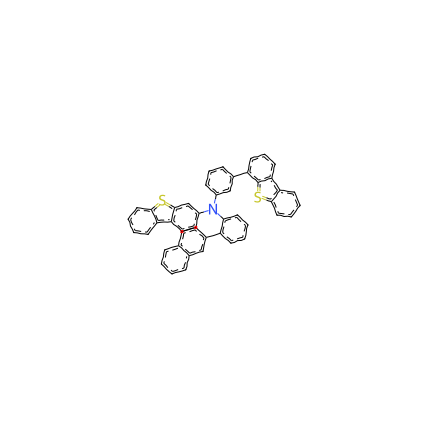 c1cc(-c2cccc3c2sc2ccccc23)cc(N(c2ccc3c(c2)sc2ccccc23)c2ccccc2-c2ccc3ccccc3c2)c1